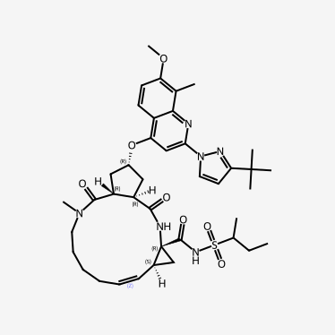 CCC(C)S(=O)(=O)NC(=O)[C@@]12C[C@H]1/C=C\CCCCN(C)C(=O)[C@@H]1C[C@H](Oc3cc(-n4ccc(C(C)(C)C)n4)nc4c(C)c(OC)ccc34)C[C@H]1C(=O)N2